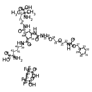 CC(CCCNC(=O)c1cc(NC(=O)NCCOCCOCCNC(=O)OCc2ccccc2)cc(C(=O)NCCCC[C@H](N)C(=O)O)c1)[C@](C)(N)C(=O)O.O=C(O)C(F)(F)F.O=C(O)C(F)(F)F